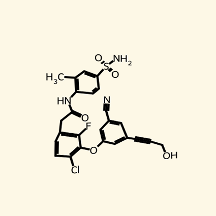 Cc1cc(S(N)(=O)=O)ccc1NC(=O)Cc1ccc(Cl)c(Oc2cc(C#N)cc(C#CCO)c2)c1F